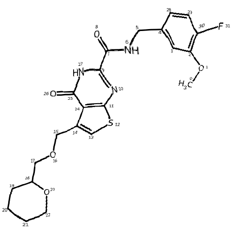 COc1cc(CNC(=O)c2nc3scc(COCC4CCCCO4)c3c(=O)[nH]2)ccc1F